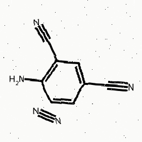 N#Cc1ccc(N)c(C#N)c1.N#N